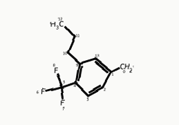 [CH2]c1ccc(C(F)(F)F)c(CCC)c1